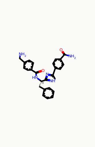 NCc1ccc(C(=O)N[C@@H](Cc2ccccc2)c2nc(-c3ccc(C(N)=O)cc3)c[nH]2)cc1